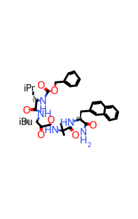 CC[C@H](C)C(NC(=O)[C@H](CC(C)C)NC(=O)OCc1ccccc1)C(=O)C(=O)NC(C)(C)C(=O)N[C@@H](Cc1ccc2ccccc2c1)C(N)=O